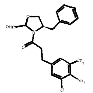 Nc1c(Cl)cc(CCC(=O)N2C(C=O)OC[C@H]2Cc2ccccc2)cc1C(F)(F)F